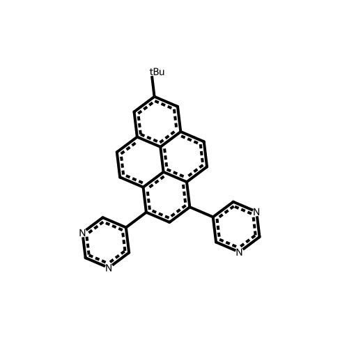 CC(C)(C)c1cc2ccc3c(-c4cncnc4)cc(-c4cncnc4)c4ccc(c1)c2c34